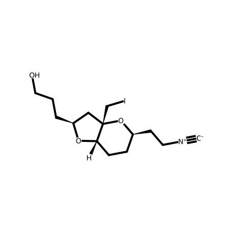 [C-]#[N+]CC[C@H]1CC[C@@H]2O[C@@H](CCCO)C[C@]2(CI)O1